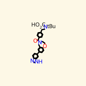 CC(C)(C)N(CCc1ccc(C(=O)N2CCOc3ccc(-c4ccc5nc[nH]c5c4)cc3C2)cc1)C(=O)O